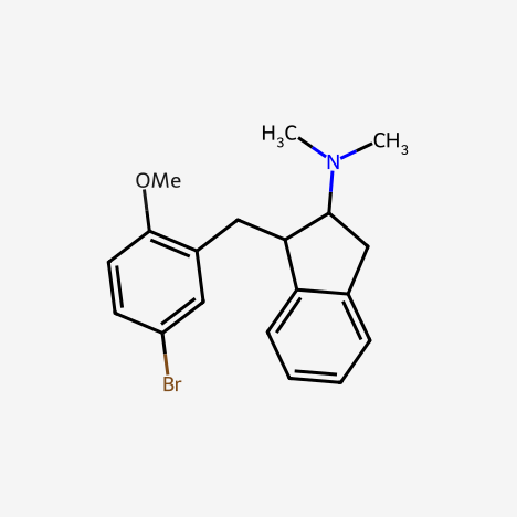 COc1ccc(Br)cc1CC1c2ccccc2CC1N(C)C